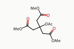 COC(=O)CC(CC(=O)OC)(CC(=O)OC)OC(C)=O